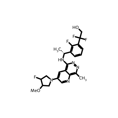 COC1CN(c2cnc3c(C)nnc(N[C@H](C)c4cccc(C(F)(F)CO)c4F)c3c2)CC1F